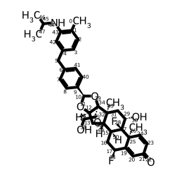 Cc1ccc(Cc2ccc([C@@H]3O[C@@H]4C[C@H]5[C@@H]6C[C@H](F)C7=CC(=O)C=C[C@]7(C)[C@@]6(F)[C@@H](O)C[C@]5(C)[C@]4(C(=O)CO)O3)cc2)cc1NC(C)C